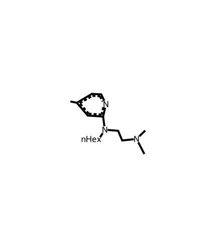 CCCCCCN(CCN(C)C)c1cc(C)ccn1